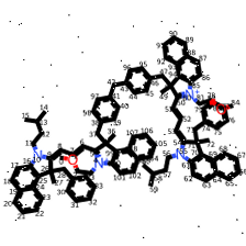 COCC[N+]1=C(/C=C/C=C2/N(CCC(C)C)c3ccc4ccccc4c3C2(C)Cc2ccccc2)C(C)(Cc2ccc(Cc3ccc(CC4(C)C(/C=C/C=C5/N(CCC(C)C)c6ccc7ccccc7c6C5(C)Cc5ccccc5)=[N+](CCOC)c5ccc6ccccc6c54)cc3)cc2)c2c1ccc1ccccc21